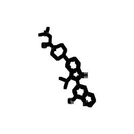 CC(C)c1c(-c2cc(Cl)c3ncccc3c2)[nH]c2ccc(C3CCN(C(=O)CN(C)C)CC3)cc12